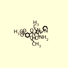 CCCOc1ccc(S(C)(=O)=O)cc1C(=O)Nc1c(CC)nn(Cc2ccccn2)c1C(N)=O